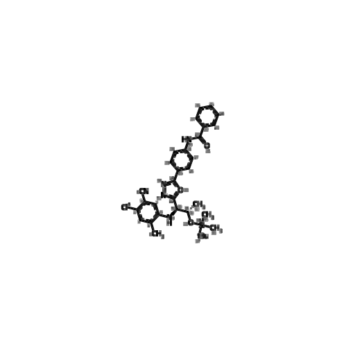 Cc1cc(Cl)c(C#N)cc1N[C@@H](c1nnc(-c2ccc(NC(=O)c3ccccc3)cc2)o1)[C@H](C)O[Si](C)(C)C(C)(C)C